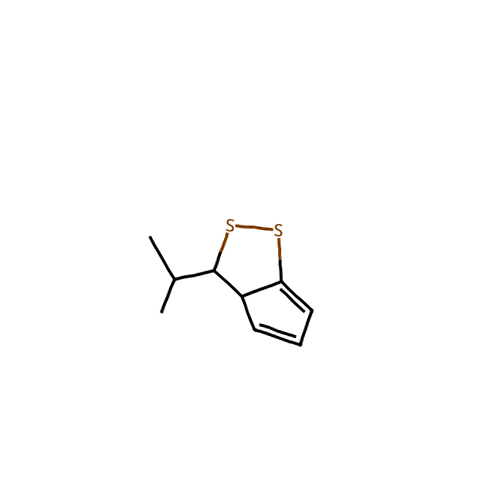 CC(C)C1SSC2=CC=CC21